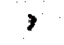 Cc1c(Oc2ccc3c(c2)ncn3C)ccc(Nc2ncnc3cnc(N4CC5CC4CO5)nc23)c1F